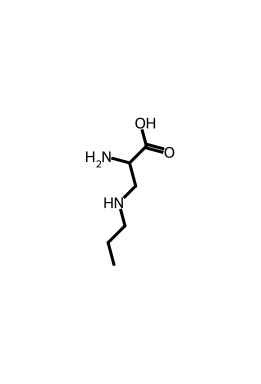 CCCNCC(N)C(=O)O